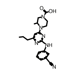 CCCc1cc(N2CCN(C(=O)O)CC2C)nc(Nc2cccc(C#N)c2)n1